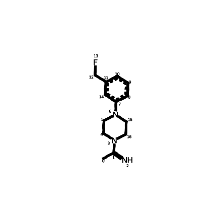 CC(=N)N1CCN(c2cccc(CF)c2)CC1